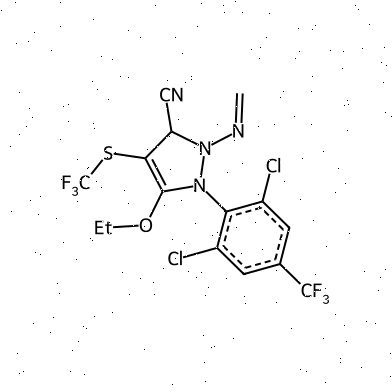 C=NN1C(C#N)C(SC(F)(F)F)=C(OCC)N1c1c(Cl)cc(C(F)(F)F)cc1Cl